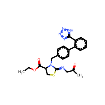 CCOC(=O)C1CSC(=NCC(C)=O)N1Cc1ccc(-c2ccccc2-c2nnn[nH]2)cc1